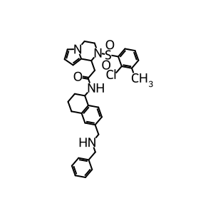 Cc1cccc(S(=O)(=O)N2CCn3cccc3C2CC(=O)NC2CCCc3cc(CNCc4ccccc4)ccc32)c1Cl